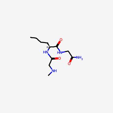 CCCC[C@H](NC(=O)CNC)C(=O)NCC(N)=O